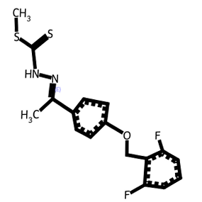 CSC(=S)N/N=C(\C)c1ccc(OCc2c(F)cccc2F)cc1